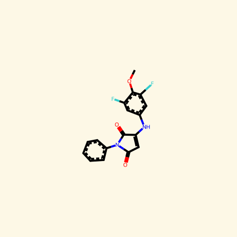 COc1c(F)cc(NC2=CC(=O)N(c3ccccc3)C2=O)cc1F